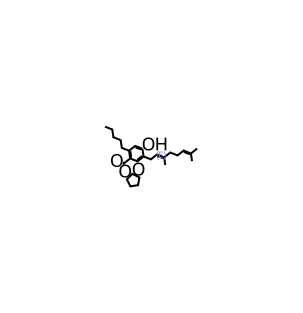 CCCCCc1cc(O)c(C/C=C(\C)CCC=C(C)C)c2c1C(=O)OC1(CCCC1)O2